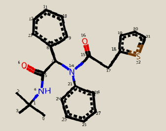 CC(C)(C)NC(=O)C(c1ccccc1)N(C(=O)Cc1cccs1)c1ccccc1